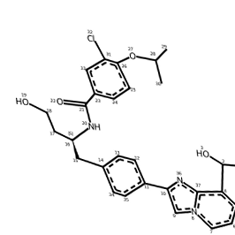 CCC(O)c1cccn2cc(-c3ccc(C[C@@H](CCO)NC(=O)c4ccc(OC(C)C)c(Cl)c4)cc3)nc12